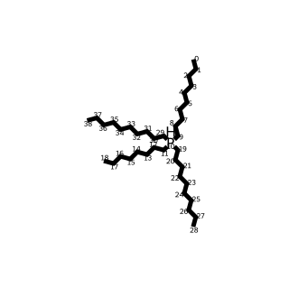 CCCCCCCCCC[PH](CCCCCCCC)(CCCCCCCCCC)CCCCCCCCCC